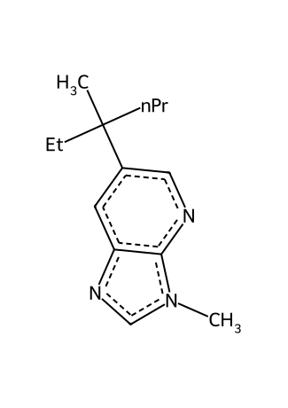 CCCC(C)(CC)c1cnc2c(c1)ncn2C